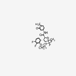 COc1c([C@@H]2[C@@H](C(=O)Nc3ccn(C)c(=O)c3)O[C@](C)(C(F)(F)F)[C@@H]2C)ccc(F)c1F